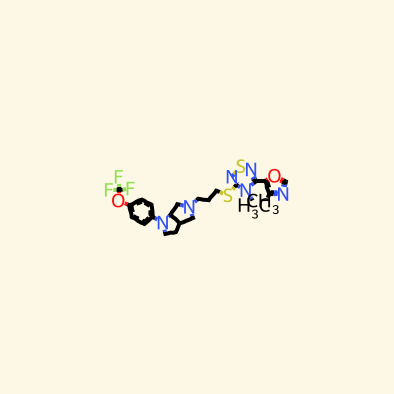 Cc1ncoc1C1=NSN=C(SCCCN2CC3CCN(c4ccc(OC(F)(F)F)cc4)C3C2)N1C